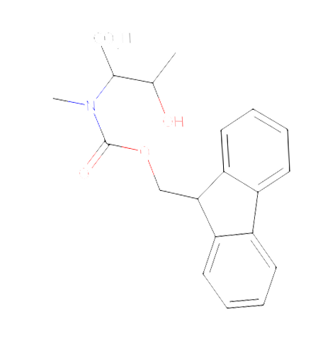 CC(O)C(C(=O)O)N(C)C(=O)OCC1c2ccccc2-c2ccccc21